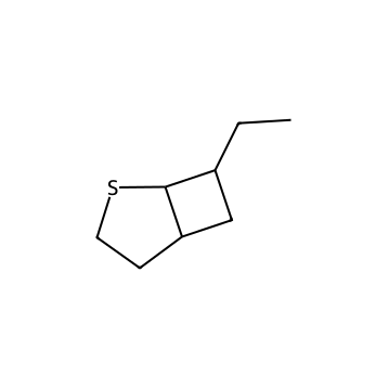 CCC1CC2CCSC12